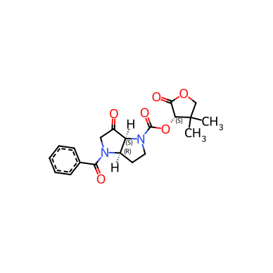 CC1(C)COC(=O)[C@H]1OC(=O)N1CC[C@@H]2[C@H]1C(=O)CN2C(=O)c1ccccc1